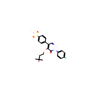 CC(C)(O)CCOc1c(-c2ccc(S(N)(=O)=O)cc2)cnn(-c2ccc(F)cc2)c1=O